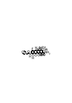 B=C1C(C(N)=O)=C(O)[C@@H](N(C)C)[C@@H]2C[C@@H]3Cc4c(F)cc(NC(=O)CN5CCOCC5)c(O)c4C(=O)C3=C(O)[C@]12O